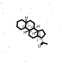 CC(=O)[C@H]1CC[C@H]2[C@@H]3CC[C@H]4C[CH]CC[C@]4(C)[C@H]3CC[C@]12C